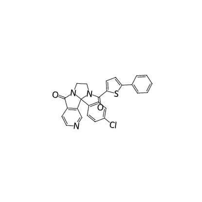 O=C(c1ccc(-c2ccccc2)s1)N1CCN2C(=O)c3ccncc3C12c1ccc(Cl)cc1